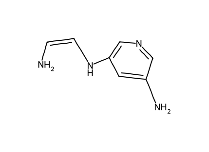 N/C=C\Nc1cncc(N)c1